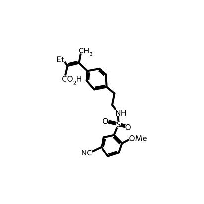 CCC(C(=O)O)=C(C)c1ccc(CCNS(=O)(=O)c2cc(C#N)ccc2OC)cc1